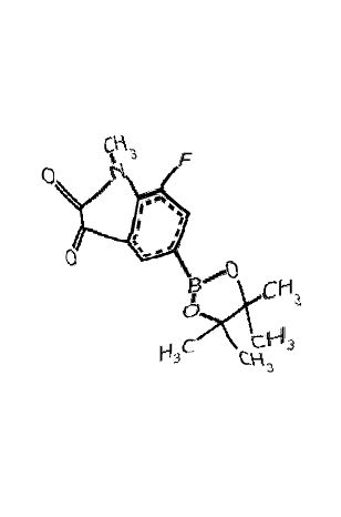 CN1C(=O)C(=O)c2cc(B3OC(C)(C)C(C)(C)O3)cc(F)c21